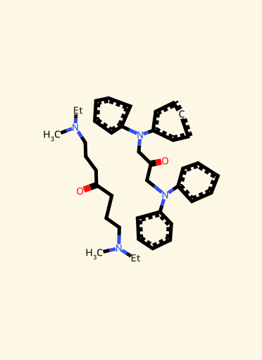 CCN(C)CCCC(=O)CCCN(C)CC.O=C(CN(c1ccccc1)c1ccccc1)CN(c1ccccc1)c1ccccc1